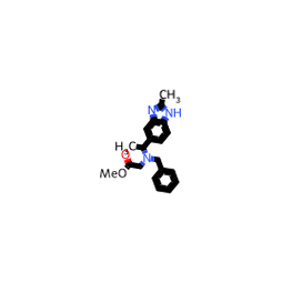 COC(=O)CN(Cc1ccccc1)C(C)c1ccc2[nH]c(C)nc2c1